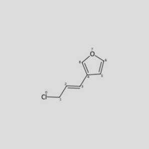 ClCC=Cc1ccoc1